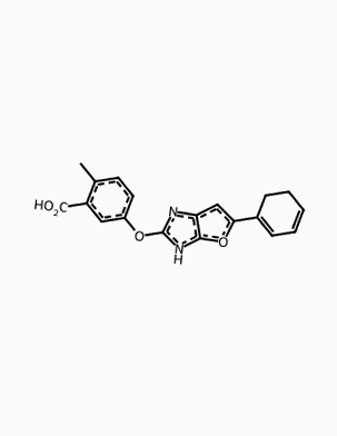 Cc1ccc(Oc2nc3cc(C4=CC=CCC4)oc3[nH]2)cc1C(=O)O